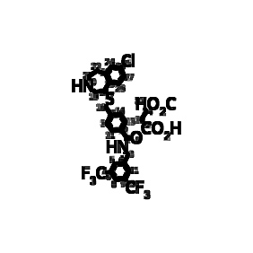 O=C(NCc1cc(C(F)(F)F)cc(C(F)(F)F)c1)c1ccc(CSC2CNCCc3cc(Cl)ccc32)cc1.O=C(O)CCC(=O)O